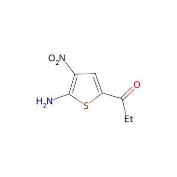 CCC(=O)c1cc([N+](=O)[O-])c(N)s1